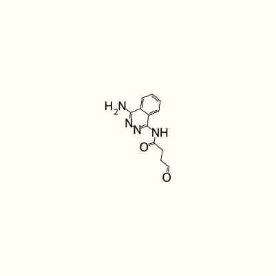 Nc1nnc(NC(=O)CCC=O)c2ccccc12